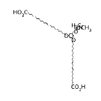 CN(C)CC(=O)OCc1cc(OCCCCCCCCCC=CCC=CCCCCCCCC(=O)O)cc(OCCCCCCCCCC=CCC=CCCCCCCCC(=O)O)c1